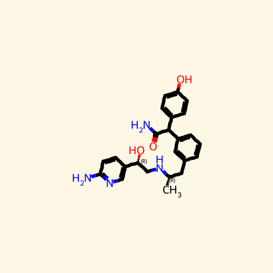 C[C@H](Cc1cccc(C(C(N)=O)c2ccc(O)cc2)c1)NC[C@H](O)c1ccc(N)nc1